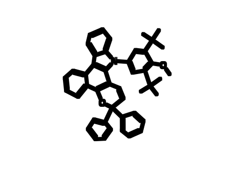 COc1c(C(C)(C)C)cc(-n2c3ccccc3c3c4ccccc4c4c(c32)C=CC(c2ccccc2)(c2ccccc2)O4)cc1C(C)(C)C